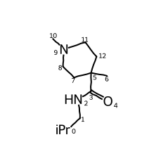 CC(C)CNC(=O)C1(C)CCN(C)CC1